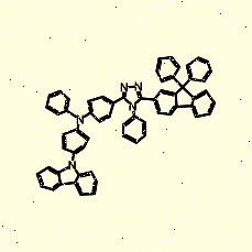 c1ccc(N(c2ccc(-c3nnc(-c4ccc5c(c4)C(c4ccccc4)(c4ccccc4)c4ccccc4-5)n3-c3ccccc3)cc2)c2ccc(-n3c4ccccc4c4ccccc43)cc2)cc1